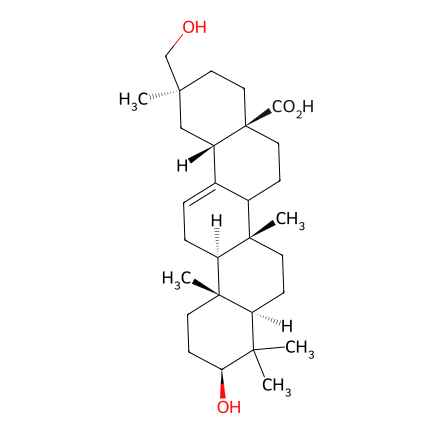 CC1(C)[C@@H](O)CC[C@]2(C)[C@H]3CC=C4C(CC[C@@]5(C(=O)O)CC[C@](C)(CO)C[C@@H]45)[C@]3(C)CC[C@@H]12